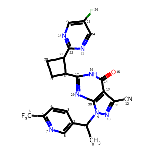 CC(c1ccc(C(F)(F)F)nc1)n1nc(C#N)c2c(=O)[nH]c(C3CCC3c3ncc(F)cn3)nc21